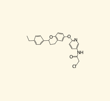 CCc1ccc(C2CCc3cc(Oc4ccc(NC(=O)CCl)cn4)ccc3O2)cc1